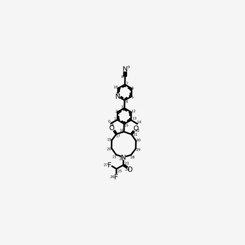 Cc1cc(-c2ccc(C#N)cn2)cc(C)c1C1C(=O)CCCN(C(=O)C(F)F)CCCC1=O